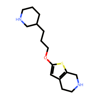 c1c(OCCCC2CCCNC2)sc2c1CCNC2